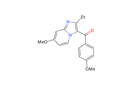 CCc1nc2cc(OC)ccn2c1C(=O)c1ccc(OC)cc1